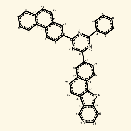 c1ccc(-c2nc(-c3ccc4c(ccc5ccccc54)c3)nc(-c3ccc4c(ccc5c6cnccc6sc45)c3)n2)cc1